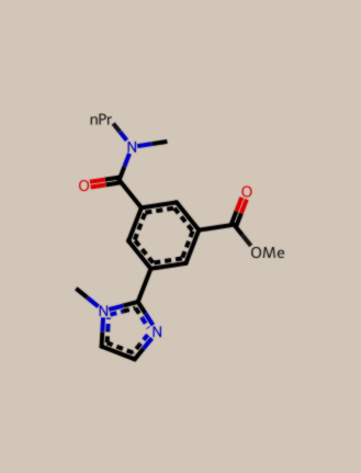 CCCN(C)C(=O)c1cc(C(=O)OC)cc(-c2nccn2C)c1